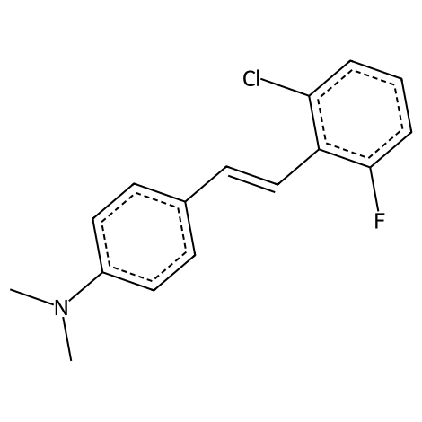 CN(C)c1ccc(C=Cc2c(F)cccc2Cl)cc1